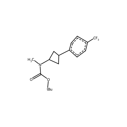 CN(C(=O)OC(C)(C)C)C1CC(c2ccc(C(F)(F)F)cc2)C1